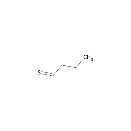 C[CH]CC=S